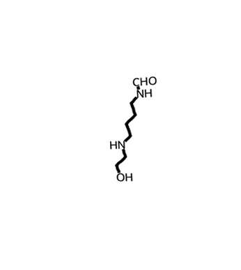 O=CNCCCCNCCO